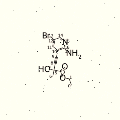 CCOC(=O)C(C)(O)C#Cc1cc(Br)cnc1N